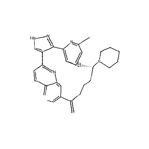 C=C(CCC[C@H](CC)N1CCCCC1)C(=C/C)/C=c1/nc(-c2c[nH]nc2-c2cccc(C)n2)ccc1=C